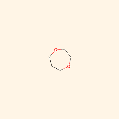 [CH]1CCOCCO1